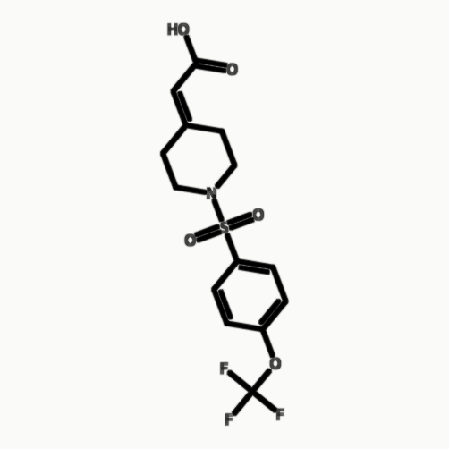 O=C(O)C=C1CCN(S(=O)(=O)c2ccc(OC(F)(F)F)cc2)CC1